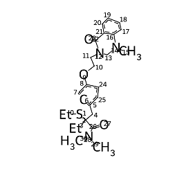 CCSC(CC)(Cc1ccc(OCCN2CN(C)c3ccccc3C2=O)cc1)C(=O)N(C)C